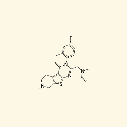 C=CN(C)CC1=Nc2sc3c(c2C(=C)N1c1ccc(F)cc1C)CCN(C)C3